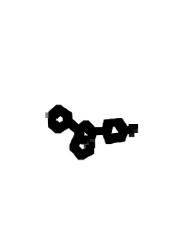 Fc1ccc(-c2cc(-c3cc[c]cc3)c3n2CCC3)cc1